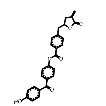 C=C1CC(Cc2ccc(C(=O)Oc3ccc(C(=O)c4ccc(O)cc4)cc3)cc2)OC1=O